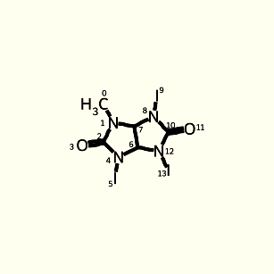 CN1C(=O)N(I)C2C1N(I)C(=O)N2I